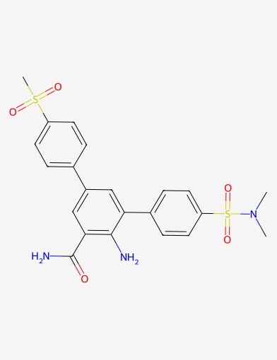 CN(C)S(=O)(=O)c1ccc(-c2cc(-c3ccc(S(C)(=O)=O)cc3)cc(C(N)=O)c2N)cc1